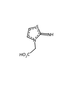 N=c1sccn1CC(=O)O